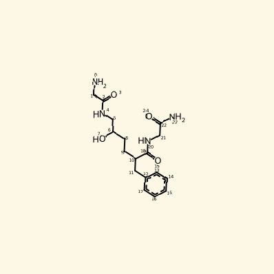 NCC(=O)NCC(O)CCC(Cc1ccccc1)C(=O)NCC(N)=O